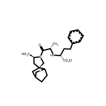 CCOC(=O)[C@@H](CCc1ccccc1)N[C@@H](C)C(=O)N1C[C@@]2(CC3CCC2CC3)C[C@H]1C(=O)O